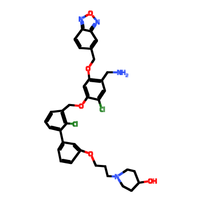 NCc1cc(Cl)c(OCc2cccc(-c3cccc(OCCCN4CCC(O)CC4)c3)c2Cl)cc1OCc1ccc2nonc2c1